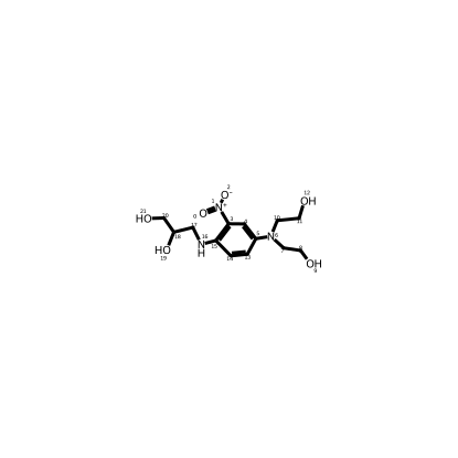 O=[N+]([O-])c1cc(N(CCO)CCO)ccc1NCC(O)CO